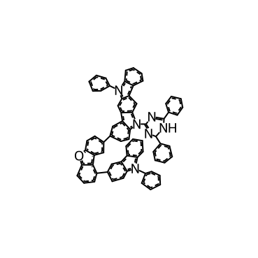 c1ccc(C2=NC(n3c4ccc(-c5ccc6oc7cccc(-c8ccc9c(c8)c8ccccc8n9-c8ccccc8)c7c6c5)cc4c4cc5c(cc43)c3ccccc3n5-c3ccccc3)=NC(c3ccccc3)N2)cc1